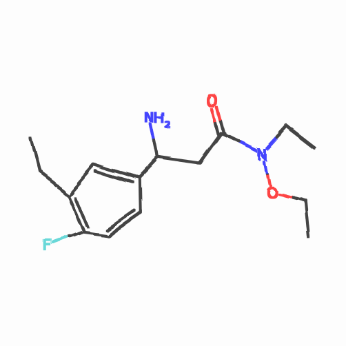 CCON(CC)C(=O)CC(N)c1ccc(F)c(CC)c1